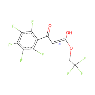 O=C(/C=C(\O)OCC(F)(F)F)c1c(F)c(F)c(F)c(F)c1F